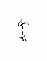 Cc1[nH]cnc1CSCCNC(N)=S